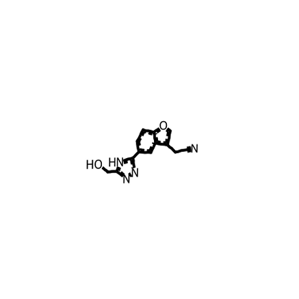 N#CCc1coc2ccc(-c3nnc(CO)[nH]3)cc12